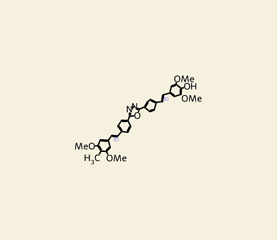 COc1cc(/C=C/c2ccc(-c3nnc(-c4ccc(/C=C/c5cc(OC)c(O)c(OC)c5)cc4)o3)cc2)cc(OC)c1C